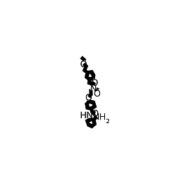 CCOCCc1ccc2oc(N(C=O)CCOc3ccc(C(=O)Nc4ccccc4N)cc3)cc2c1